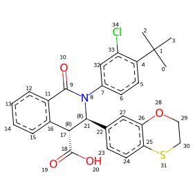 CC(C)(C)c1ccc(N2C(=O)c3ccccc3[C@@H](C(=O)O)[C@@H]2c2ccc3c(c2)OCCS3)cc1Cl